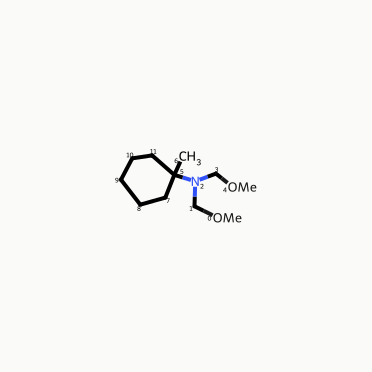 COCN(COC)C1(C)CCCCC1